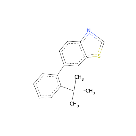 CC(C)(C)c1cc[c]cc1-c1ccc2ncsc2c1